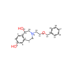 Oc1ccc2c(c1)CCN(CCOCc1ccccc1)CC2O